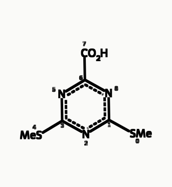 CSc1nc(SC)nc(C(=O)O)n1